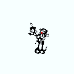 C#Cc1c(F)ccc2cccc(-c3nc4c5c(nc(OCC67CCCN6C[C@H]6C[C@H]67)nc5c3F)N3C[C@H]5CC[C@@H]([C@H]3[C@H](C)O4)N5C(=O)OC(C)(C)C)c12